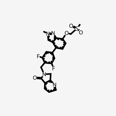 Cn1cc2c(-c3cc(F)c(CN4Cc5ncccc5C4=O)c(F)c3)ccc(OCS(C)(=O)=O)c2n1